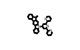 C=C1c2ccccc2-c2cc3c4ccccc4n(-c4cc(-c5ccccn5)nc(-c5ccccn5)c4)c3cc21